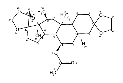 CC(=O)O[C@@H]1C[C@@H]2CC3(CC[C@]2(C)C2C[C@H](C)[C@@]4(C)C(CC[C@@]45OCOC54COCO4)C21)OCCO3